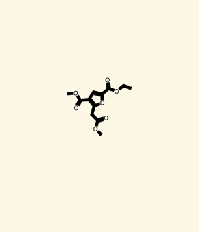 CCOC(=O)c1cc(C(=O)OC)c(CC(=O)OC)o1